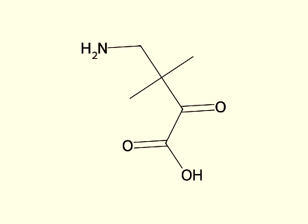 CC(C)(CN)C(=O)C(=O)O